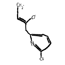 [CH2]C=C(Cl)Cc1cccc(Cl)n1